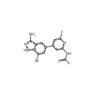 CC(=O)Nc1cc(-c2cc(Br)c3[nH]nc(N)c3c2)cc(F)n1